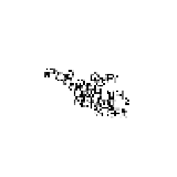 CCOc1nc(N)nc2c1ncn2[C@@H]1O[C@]2(F)C(OP(=O)(OCOC(=O)OC(C)C)OCOC(=O)OC(C)C)[C@]2(O)[C@H]1F